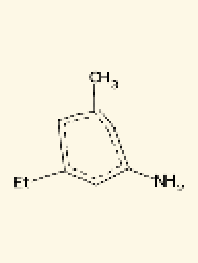 CCc1cc(C)cc(N)c1